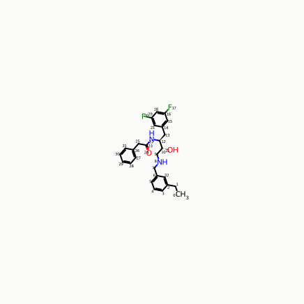 CCc1cccc(CNC[C@@H](O)[C@H](Cc2cc(F)cc(F)c2)NC(=O)Cc2ccccc2)c1